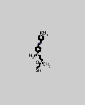 CN(CCCN(C)c1ccc(/C=C/c2cc[n+](C)cc2)cc1)C(=O)CCS